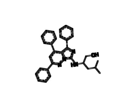 CC(C)CC(CO)Nc1nc(-c2ccccc2)c2c(-c3ccccc3)cc(-c3ccccc3)nn12